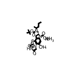 CCCC(C)N(C[C@H]1Cc2c(cc(O)c(N3CC(=O)NS3(=O)=O)c2F)N1C(=O)O)C(=O)OC(C)(C)C.N